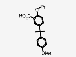 COc1ccc(C(C)(C)c2ccc(OC(C)C)c(C(=O)O)c2)cc1